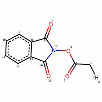 [3H]CC(=O)ON1C(=O)c2ccccc2C1=O